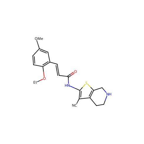 CCOc1ccc(OC)cc1C=CC(=O)Nc1sc2c(c1C#N)CCNC2